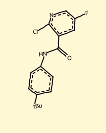 CC(C)(C)c1ccc(NC(=O)c2cc(F)cnc2Cl)cc1